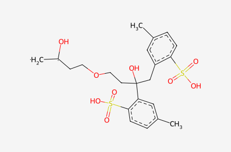 [CH2][C](O)CCOCCC(O)(Cc1cc(C)ccc1S(=O)(=O)O)c1cc(C)ccc1S(=O)(=O)O